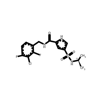 C[C@H](NS(=O)(=O)c1c[nH]c(C(=O)NCc2ccc(F)c(Cl)c2F)c1)C(F)(F)F